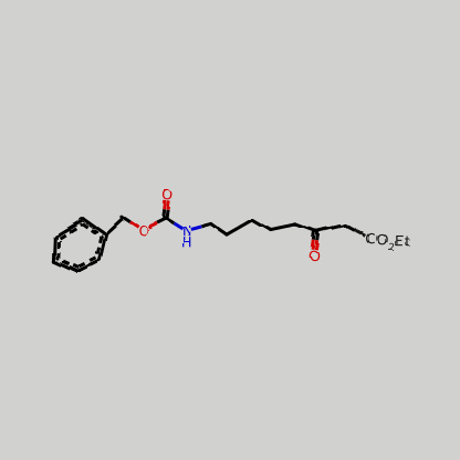 CCOC(=O)CC(=O)CCCCCNC(=O)OCc1ccccc1